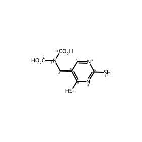 O=C(O)N(Cc1cnc(S)nc1S)C(=O)O